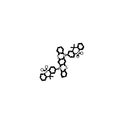 CC1(C)c2ccccc2S(=O)(=O)c2ccc(-n3c4ccccc4sc4cc5c(cc43)sc3ccccc3n5-c3ccc4c(c3)C(C)(C)c3ccccc3S4(=O)=O)cc21